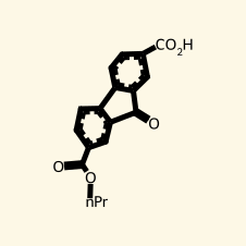 CCCOC(=O)c1ccc2c(c1)C(=O)c1cc(C(=O)O)ccc1-2